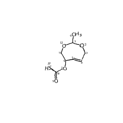 CC1OC/C=C/C(OC(=O)S)CO1